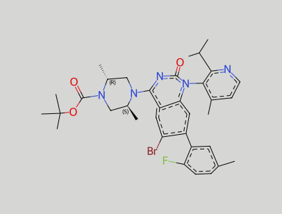 Cc1ccc(F)c(-c2cc3c(cc2Br)c(N2C[C@@H](C)N(C(=O)OC(C)(C)C)C[C@@H]2C)nc(=O)n3-c2c(C)ccnc2C(C)C)c1